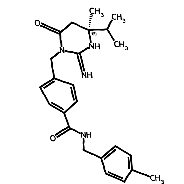 Cc1ccc(CNC(=O)c2ccc(CN3C(=N)N[C@](C)(C(C)C)CC3=O)cc2)cc1